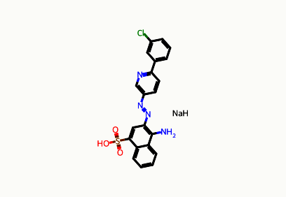 Nc1c(N=Nc2ccc(-c3cccc(Cl)c3)nc2)cc(S(=O)(=O)O)c2ccccc12.[NaH]